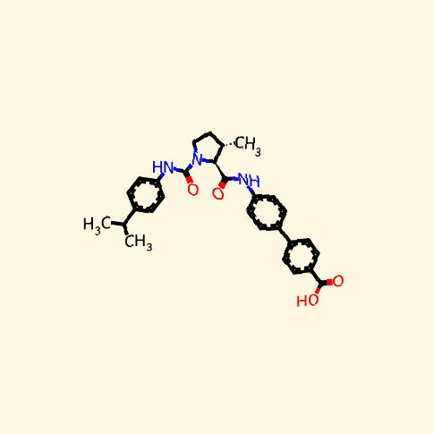 CC(C)c1ccc(NC(=O)N2CC[C@H](C)[C@H]2C(=O)Nc2ccc(-c3ccc(C(=O)O)cc3)cc2)cc1